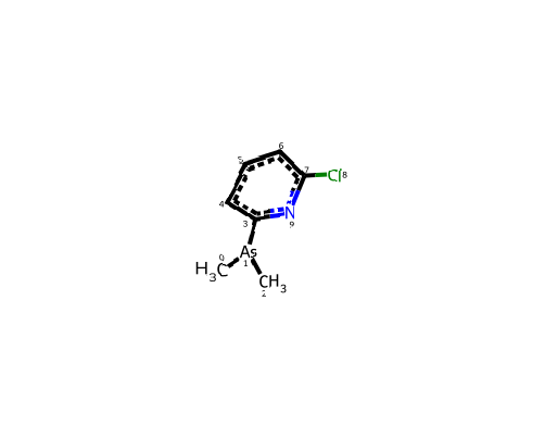 C[As](C)c1cc[c]c(Cl)n1